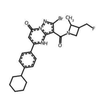 CC1C(CF)CN1C(=O)c1c(Br)nn2c(=O)cc(-c3ccc(C4CCCCC4)cc3)[nH]c12